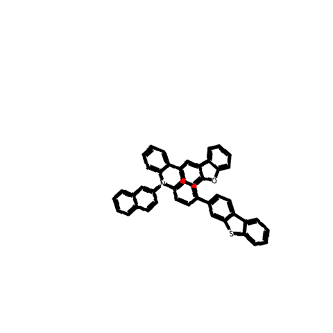 c1ccc(N(c2ccc(-c3ccc4c(c3)sc3ccccc34)cc2)c2ccc3ccccc3c2)c(-c2ccc3oc4ccccc4c3c2)c1